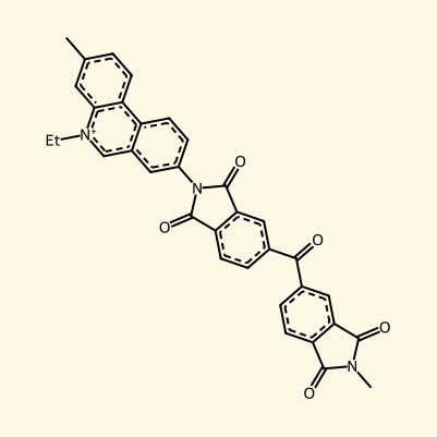 CC[n+]1cc2cc(N3C(=O)c4ccc(C(=O)c5ccc6c(c5)C(=O)N(C)C6=O)cc4C3=O)ccc2c2ccc(C)cc21